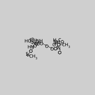 CC1=CC=C(C)C1c1cc(C(N)=O)c2c3cc(OCCCOCCCOCC(=O)N[C@H](C(=O)N4C[C@H](O)C[C@H]4C(=O)NCc4ccc(-c5sccc5C)cc4)C(C)(C)C)ccc3n(Cc3ccccc3)c2c1